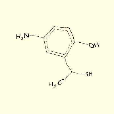 CC(S)c1cc(N)ccc1O